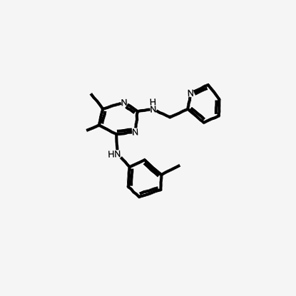 Cc1cccc(Nc2nc(NCc3ccccn3)nc(C)c2C)c1